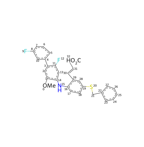 COc1cc(-c2cccc(F)c2)c(F)cc1Nc1ccc(SCc2ccccc2)cc1C=CC(=O)O